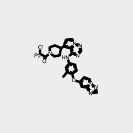 Cc1cc(Nc2ncnn3ccc(C4CCN(C(=O)[C@H](F)Cl)CC4)c23)ccc1Oc1ccn2ncnc2c1